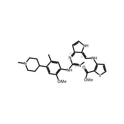 C\N=C(/N=C1/C=CN/C1=C\Nc1ccsc1C(=O)OC)Nc1cc(C)c(C2CCN(C)CC2)cc1OC